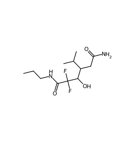 CCCNC(=O)C(F)(F)C(O)C(CC(N)=O)C(C)C